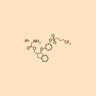 CC(C)[C@H](N)C(=O)OCC1Cc2ccccc2[C@@H]1Oc1cccc(OS(=O)(=O)CCCC(F)(F)F)c1